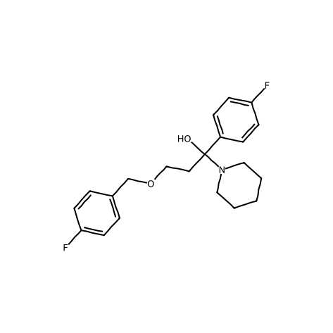 OC(CCOCc1ccc(F)cc1)(c1ccc(F)cc1)N1CCCCC1